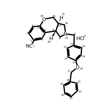 Cl.N#Cc1ccc2c(c1)[C@H]1CN(Cc3ccc(OCc4ccccc4)cc3)C[C@@H]1CO2